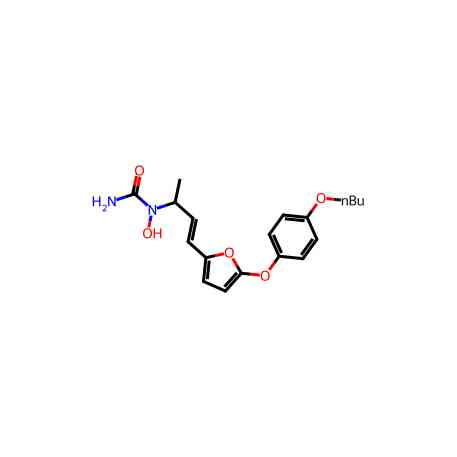 CCCCOc1ccc(Oc2ccc(C=CC(C)N(O)C(N)=O)o2)cc1